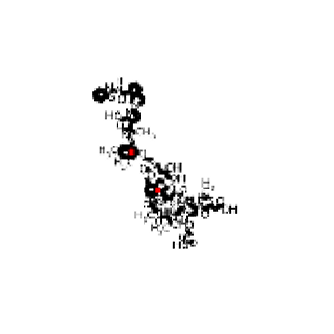 Cc1c(-c2ccc(N3CCc4cccc(C(=O)Nc5nc6ccccc6s5)c4C3)nc2C(=O)O)cnn1CC12CC3(C)CC(C)(C1)CC(OCCN(CC[C@H](O)CO)C(=O)OCc1ccc(NC(=O)[C@H](C)NC(=O)[C@@H](NC(=O)CN4C(=O)[C@@H](NC(=O)C(CC(=O)O)SC(C)C)C[C@H]4COCCS(=O)(=O)O)C(C)C)cc1CC[C@@H]1O[C@H](C(=O)O)[C@@H](O)[C@H](O)[C@H]1O)(C3)C2